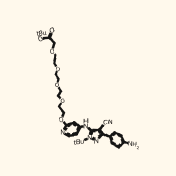 CC(C)(C)OC(=O)COCCOCCOCCOCCOc1cc(Nc2c(C#N)c(-c3ccc(N)cc3)nn2C(C)(C)C)ccn1